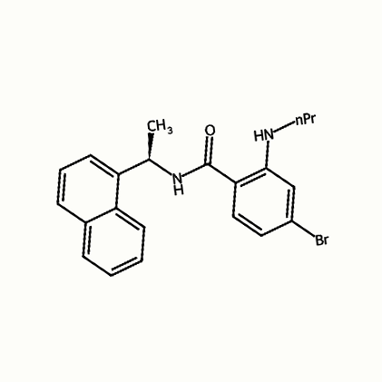 CCCNc1cc(Br)ccc1C(=O)N[C@H](C)c1cccc2ccccc12